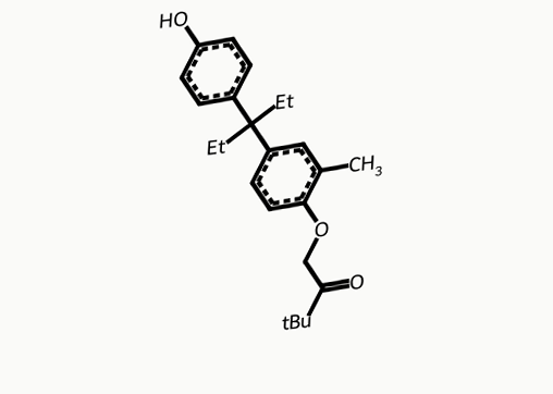 CCC(CC)(c1ccc(O)cc1)c1ccc(OCC(=O)C(C)(C)C)c(C)c1